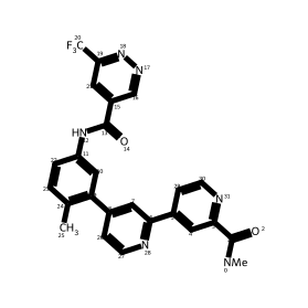 CNC(=O)c1cc(-c2cc(-c3cc(NC(=O)c4cnnc(C(F)(F)F)c4)ccc3C)ccn2)ccn1